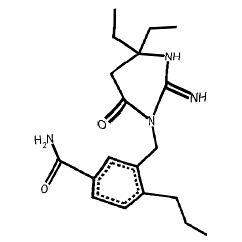 CCCc1ccc(C(N)=O)cc1CN1C(=N)NC(CC)(CC)CC1=O